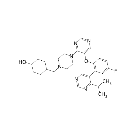 CC(C)c1ncncc1-c1cc(F)ccc1Oc1cncnc1N1CCN(CC2CCC(O)CC2)CC1